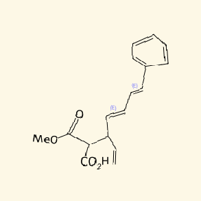 C=CC(/C=C/C=C/c1ccccc1)C(C(=O)O)C(=O)OC